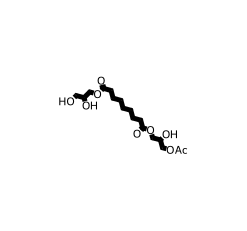 CC(=O)OCC(O)COC(=O)CCCCCCCC(=O)OCC(O)CO